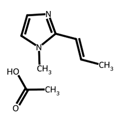 CC(=O)O.CC=Cc1nccn1C